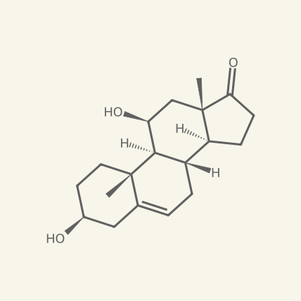 C[C@]12CC[C@H](O)CC1=CC[C@@H]1[C@@H]2[C@@H](O)C[C@]2(C)C(=O)CC[C@@H]12